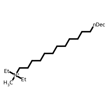 CCCCCCCCCCCCCCCCCCCCCC[N+](C)(CC)CC